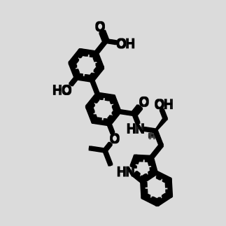 CC(C)Oc1ccc(-c2cc(C(=O)O)ccc2O)cc1C(=O)N[C@@H](CO)Cc1c[nH]c2ccccc12